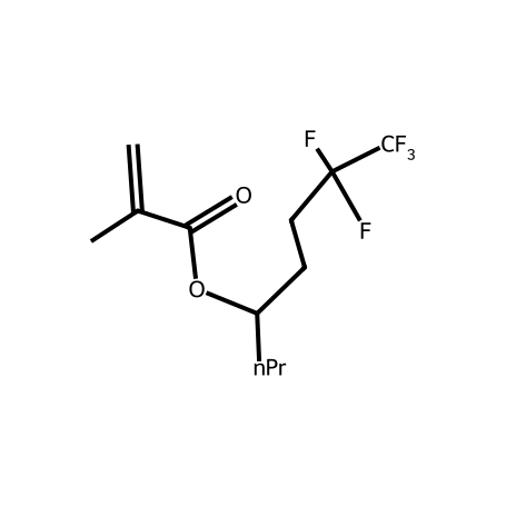 C=C(C)C(=O)OC(CCC)CCC(F)(F)C(F)(F)F